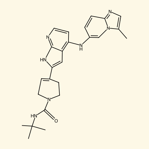 Cc1cnc2ccc(Nc3ccnc4[nH]c(C5=CCN(C(=O)NC(C)(C)C)CC5)cc34)cn12